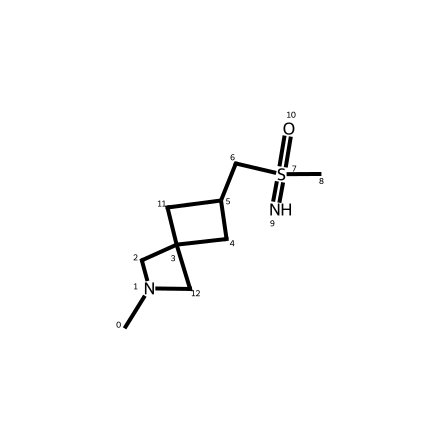 CN1CC2(CC(CS(C)(=N)=O)C2)C1